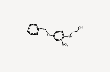 O=[N+]([O-])c1cc(OCc2ccccc2)ccc1NCCO